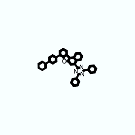 C1=CC(c2ccc(-c3cccc4c3oc3cc(-c5nc(-c6ccccc6)nc(-c6ccccc6)n5)c5ccccc5c34)cc2)=CCC1